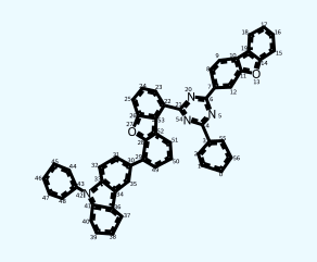 c1ccc(-c2nc(-c3ccc4c(c3)oc3ccccc34)nc(-c3cccc4oc5c(-c6ccc7c(c6)c6ccccc6n7-c6ccccc6)cccc5c34)n2)cc1